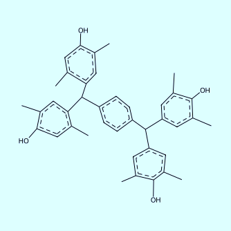 Cc1cc(C(c2ccc(C(c3cc(C)c(O)c(C)c3)c3cc(C)c(O)c(C)c3)cc2)c2cc(C)c(O)cc2C)c(C)cc1O